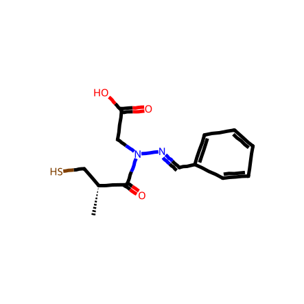 C[C@H](CS)C(=O)N(CC(=O)O)/N=C/c1ccccc1